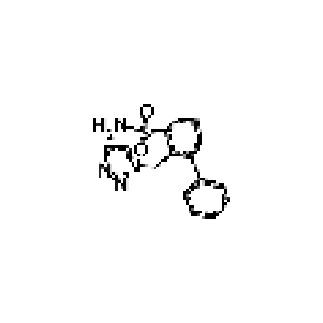 NS(=O)(=O)c1cccc(-c2ccccc2)c1Cn1ccnn1